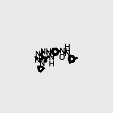 Cc1cccc(NC(=O)Nc2ccc3nc(-c4cn(C5CCCC5)c5ncnc(N)c45)[nH]c3c2)c1